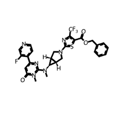 CN(c1nc(-c2ccncc2F)cc(=O)n1C)[C@H]1[C@@H]2CN(c3nc(C(F)(F)F)c(C(=O)OCc4ccccc4)s3)C[C@@H]21